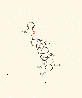 COc1ccccc1OCc1ncc2c(n1)C(C)(C)[C@@H]1CC[C@]3(C)[C@H](CC=C4[C@@H]5[C@@H](C)[C@H](C)CC[C@]5(C(=O)O)CC[C@]43C)[C@@]1(C)C2